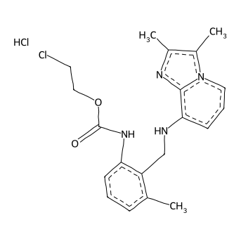 Cc1cccc(NC(=O)OCCCl)c1CNc1cccn2c(C)c(C)nc12.Cl